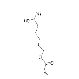 C=CC(=O)OCCCCCC(O)O